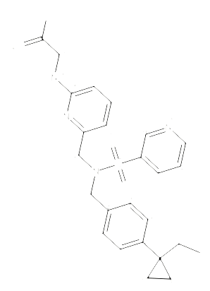 CCC1(c2ccc(CN(Cc3cccc(NCC(=O)O)n3)S(=O)(=O)c3cccnc3)cc2)CC1